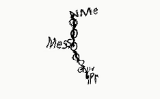 CNCCOCCOCC[C@](C)(OCCOCCOCCC(=O)NC/C=C/C(C)C)SSC